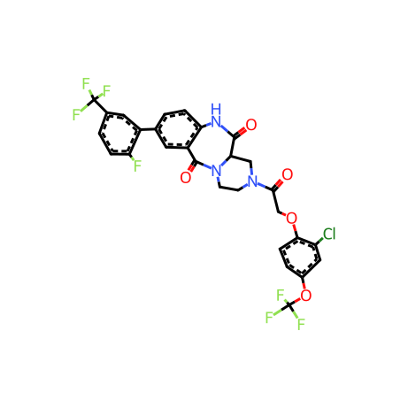 O=C1Nc2ccc(-c3cc(C(F)(F)F)ccc3F)cc2C(=O)N2CCN(C(=O)COc3ccc(OC(F)(F)F)cc3Cl)CC12